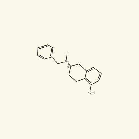 C[As](Cc1ccccc1)[C@@H]1CCc2c(O)cccc2C1